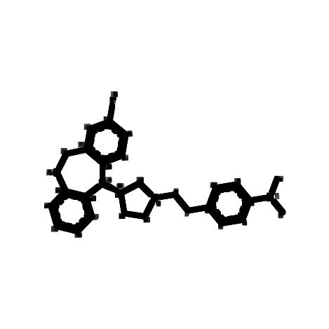 CN(C)c1ccc(CCN2CC[C@@H](N3c4ccc(F)cc4COc4ccccc43)C2)cc1